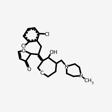 CN1CCN(CC2CCCCC(=C(Cc3c(Cl)cccc3Cl)C3OC=CC3=O)C2O)CC1